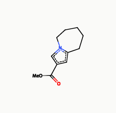 COC(=O)c1cc2n(c1)CCCCC2